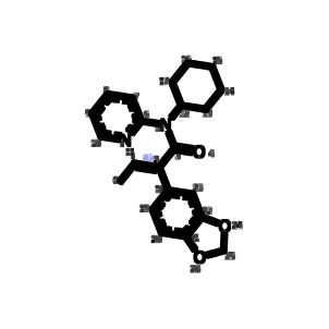 C/C=C(/C(=O)N(c1ccccn1)C1CCCCC1)c1ccc2c(c1)OCO2